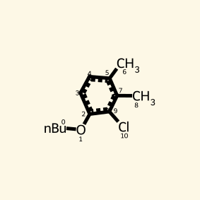 CCCCOc1ccc(C)c(C)c1Cl